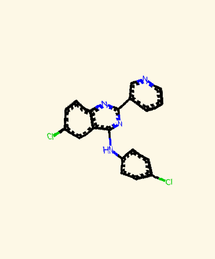 Clc1ccc(Nc2nc(-c3cccnc3)nc3ccc(Cl)cc23)cc1